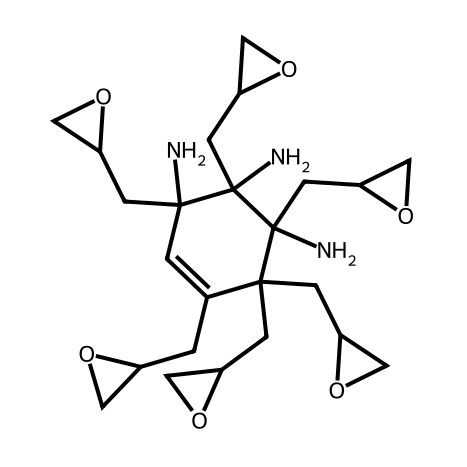 NC1(CC2CO2)C=C(CC2CO2)C(CC2CO2)(CC2CO2)C(N)(CC2CO2)C1(N)CC1CO1